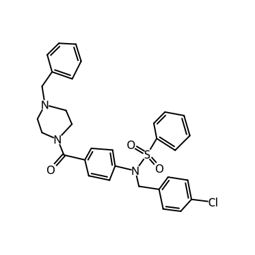 O=C(c1ccc(N(Cc2ccc(Cl)cc2)S(=O)(=O)c2ccccc2)cc1)N1CCN(Cc2ccccc2)CC1